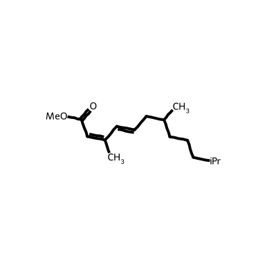 COC(=O)C=C(C)C=CCC(C)CCCC(C)C